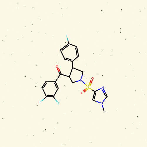 Cn1cnc(S(=O)(=O)N2CC(C(=O)c3ccc(F)c(F)c3)C(c3ccc(F)cc3)C2)c1